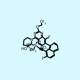 CC(C)[Si](C#Cc1c(F)ccc2cccc(-c3c([N+](=O)[O-])cc4c(N5CCC[C@@](C)(O)C5)nc(OCC(F)(F)F)nc4c3F)c12)(C(C)C)C(C)C